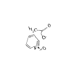 CC([O])=O.O.c1ccccc1